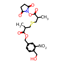 CC(CSCC(C)C(=O)ON1C(=O)CCC1=O)C(=O)OCc1ccc(CO)c([N+](=O)[O-])c1